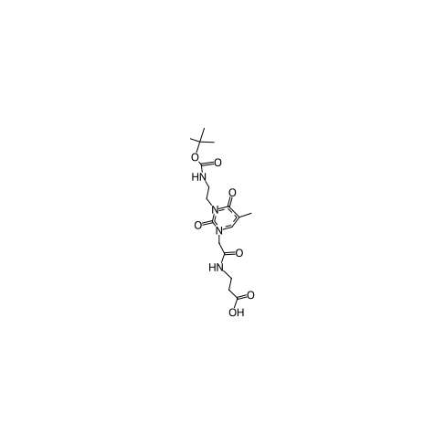 Cc1cn(CC(=O)NCCC(=O)O)c(=O)n(CCNC(=O)OC(C)(C)C)c1=O